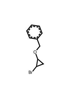 BrC1CC1OCc1ccccc1